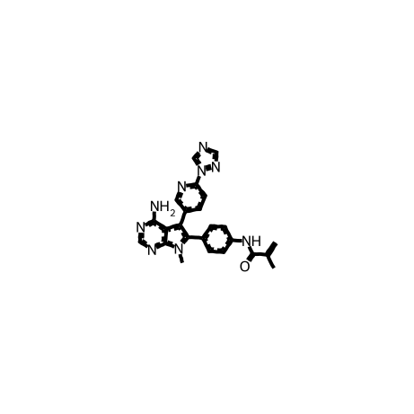 C=C(C)C(=O)Nc1ccc(-c2c(-c3ccc(-n4cncn4)nc3)c3c(N)ncnc3n2C)cc1